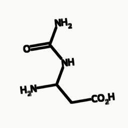 NC(=O)NC(N)CC(=O)O